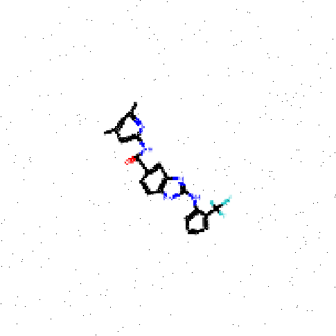 Cc1cc(C)nc(NC(=O)c2ccc3[nH]c(Nc4ccccc4C(F)(F)F)nc3c2)c1